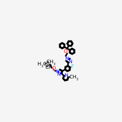 Cc1cccc(-c2nn(COCC[Si](C)(C)C)cc2-c2ccc(F)c(-c3cn(CCOC(c4ccccc4)(c4ccccc4)c4ccccc4)cn3)c2)n1